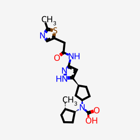 Cc1ncc(CC(=O)Nc2cc([C@H]3CC[C@@H](N(C(=O)O)[C@@H]4CCC[C@@H]4C)C3)[nH]n2)s1